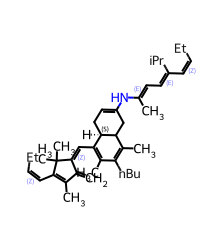 C=C1C(C)=C(/C=C\CC)C(C)(C)/C1=C/C1=C(C)C(CCCC)=C(C)C2CC(N/C(C)=C/C=C(/C=C\CC)C(C)C)=CC[C@H]12